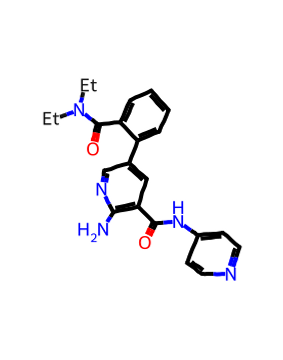 CCN(CC)C(=O)c1ccccc1-c1cnc(N)c(C(=O)Nc2ccncc2)c1